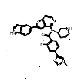 Cn1cc(-c2ccc(C(=O)N(c3nccc4sc(-c5ccc6[nH]ccc6c5)cc34)[C@@H]3CCCNC3)c(F)c2)nn1